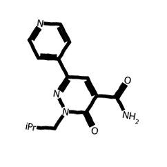 CC(C)Cn1nc(-c2ccncc2)cc(C(N)=O)c1=O